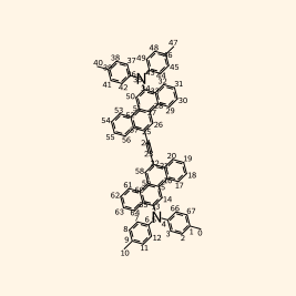 Cc1ccc(N(c2ccc(C)cc2)c2cc3c4ccccc4c(C#Cc4cc5c6ccccc6c(N(c6ccc(C)cc6)c6ccc(C)cc6)cc5c5ccccc45)cc3c3ccccc23)cc1